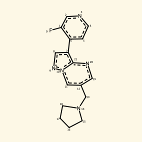 Fc1cnccc1-c1cnn2cc(CN3CCCC3)cnc12